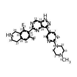 CN1CCN(c2ncc(-c3n[nH]c4cnc(-c5c(F)cc6c(c5F)CNCC6)nc34)cn2)CC1